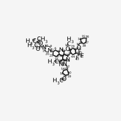 CCOc1nc2cc(N3CCN(C(=O)OC(C)(C)C)CC3)ccc2c2c1c(-c1ccc(OCc3ccccc3)c(C(F)(F)F)c1)nc1c2c(C)nn1Cc1ccc(OC)cc1